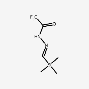 C[Si](C)(C)/C=N/NC(=O)C(F)(F)F